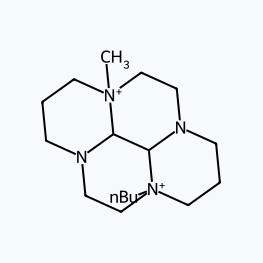 CCCC[N+]12CCCN3CC[N+]4(C)CCCN(CC1)C4C32